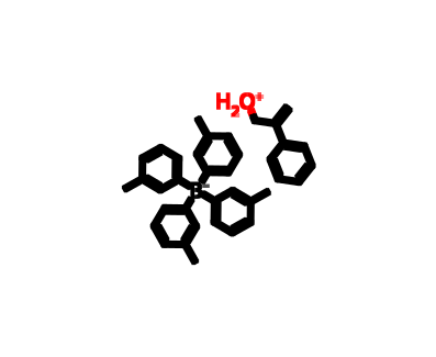 C=C(C[OH2+])c1ccccc1.Cc1cccc([B-](c2cccc(C)c2)(c2cccc(C)c2)c2cccc(C)c2)c1